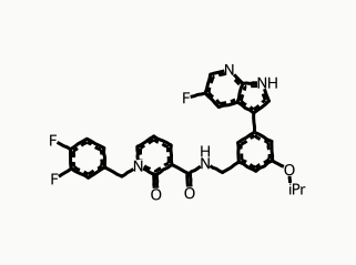 CC(C)Oc1cc(CNC(=O)c2cccn(Cc3ccc(F)c(F)c3)c2=O)cc(-c2c[nH]c3ncc(F)cc23)c1